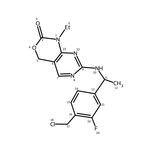 CCN1C(=O)OCc2cnc(NC(C)c3ccc(CCl)c(F)c3)nc21